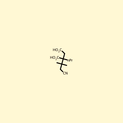 CCCC(CC(=O)O)(C(=O)O)C(C)(C)CC#N